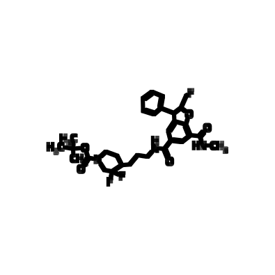 CNC(=O)c1cc(C(=O)NCCCC2CCN(C(=O)OC(C)(C)C)CC2(F)F)cc2c1OC(CF)C2c1ccccc1